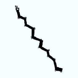 C=CCCCC=CCCCCCCl